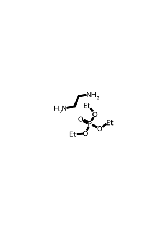 CCOP(=O)(OCC)OCC.NCCN